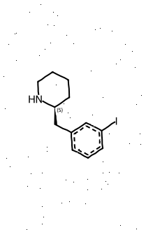 Ic1cccc(C[C@@H]2CCCCN2)c1